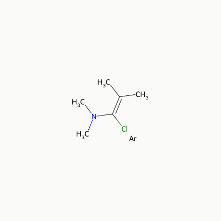 CC(C)=C(Cl)N(C)C.[Ar]